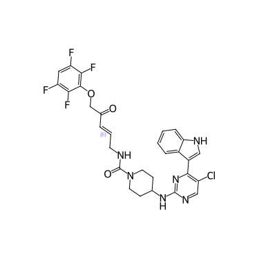 O=C(/C=C/CNC(=O)N1CCC(Nc2ncc(Cl)c(-c3c[nH]c4ccccc34)n2)CC1)COc1c(F)c(F)cc(F)c1F